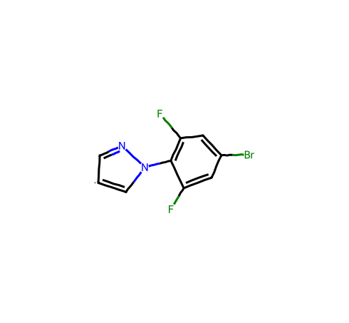 Fc1cc(Br)cc(F)c1-n1c[c]cn1